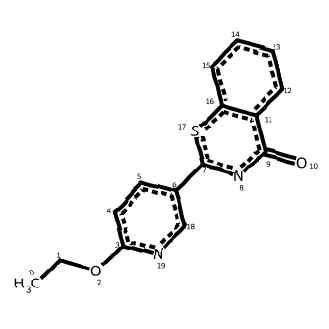 CCOc1ccc(-c2nc(=O)c3ccccc3s2)cn1